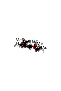 COc1ccc2c(c1)c(CCN1C(=O)c3ccc(CC(C)CC(OOC(C)(C)CC(OC(C)=O)OC(C)=O)n4cc(CCNC(C)=O)c5cc(OC)ccc54)cc3C1=O)cn2C(CC(C)C)OOC(C)(C)CC(OC(C)=O)OC(C)=O